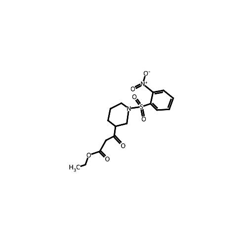 CCOC(=O)CC(=O)C1CCCN(S(=O)(=O)c2ccccc2[N+](=O)[O-])C1